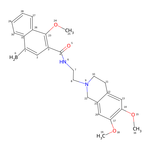 Bc1cc(C(=O)NCCN2CCc3cc(OC)c(OC)cc3C2)c(OC)c2ccccc12